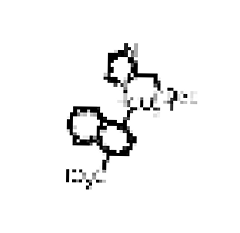 CCCCCCCCCCCc1ncc[nH]1.O=C(O)c1ccc(C(=O)O)c2ccccc12